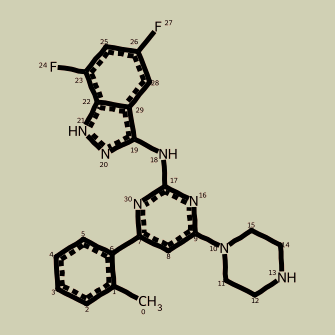 Cc1ccccc1-c1cc(N2CCNCC2)nc(Nc2n[nH]c3c(F)cc(F)cc23)n1